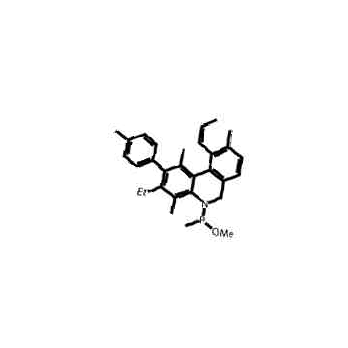 C/C=C\c1c(C)ccc2c1-c1c(C)c(-c3ccc(C)cc3)c(CC)c(C)c1N(P(C)OC)C2